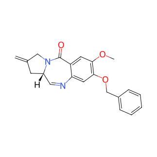 C=C1C[C@H]2C=Nc3cc(OCc4ccccc4)c(OC)cc3C(=O)N2C1